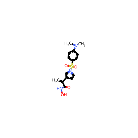 C=C(C(=O)NO)c1ccn(S(=O)(=O)c2ccc(N(C)C)cc2)c1